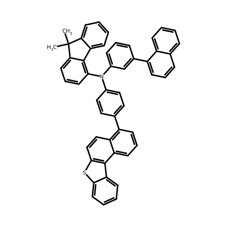 CC1(C)c2ccccc2-c2c(N(c3ccc(-c4cccc5c4ccc4sc6ccccc6c45)cc3)c3cccc(-c4cccc5ccccc45)c3)cccc21